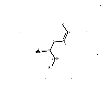 C/C=N\C[C@H](CCCC)NCC